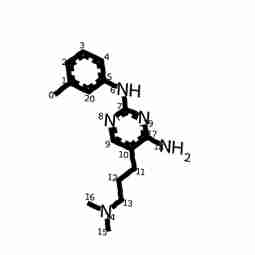 Cc1cccc(Nc2ncc(CCCN(C)C)c(N)n2)c1